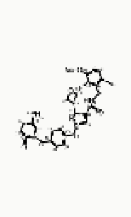 COc1ccc(C)c(CNC(=O)c2cn(Cc3ccc(Cn4cc(P)ccc4=O)cc3)nc2C2COC2)c1F